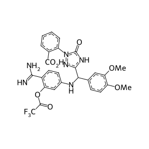 COc1ccc(C(Nc2ccc(C(=N)N)c(OC(=O)C(F)(F)F)c2)c2nn(-c3ccccc3C(=O)O)c(=O)[nH]2)cc1OC